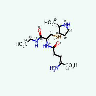 NC(CCC(=O)NC(CS)C(=O)NCC(=O)O)C(=O)O.O=C(O)[C@@H]1CCCN1